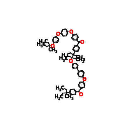 CCC(C)(CC)Oc1ccc(Oc2ccc(Oc3ccc(C(=O)c4ccc(C(CC)(CC)C(CC)(CC)Oc5ccc(-c6ccc(Oc7ccc(C(=O)c8ccc(C(C)(CC)CC)cc8)cc7)cc6)cc5)cc4)cc3)cc2)cc1